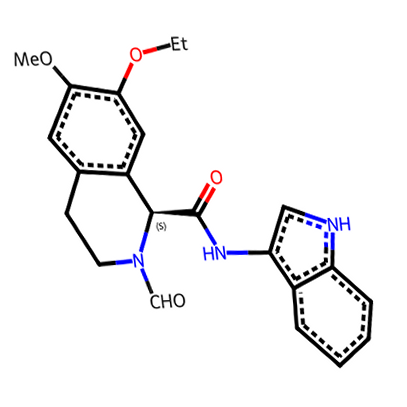 CCOc1cc2c(cc1OC)CCN(C=O)[C@@H]2C(=O)Nc1c[nH]c2ccccc12